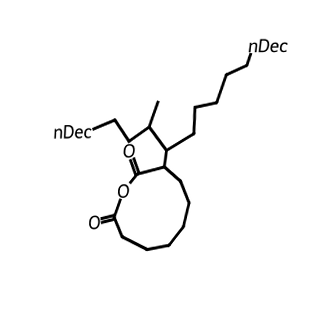 CCCCCCCCCCCCCCCC(C(C)CCCCCCCCCCCC)C1CCCCCCC(=O)OC1=O